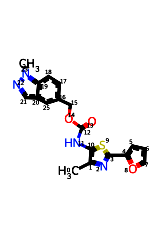 Cc1nc(-c2ccco2)sc1NC(=O)OCc1ccc2c(cnn2C)c1